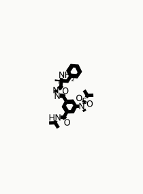 CC(C)NC(=O)c1cc(-c2nnc([C@](C)(N)Cc3ccccc3)o2)cc(N(C)S(=O)(=O)C(C)C)c1